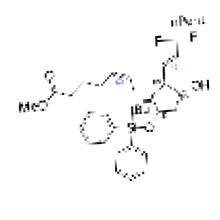 CCCCCC(F)(F)/C=C/[C@@H]1[C@@H](C/C=C\CCCC(=O)OC)[C@@H](O[Si](c2ccccc2)(c2ccccc2)C(C)(C)C)C[C@H]1O